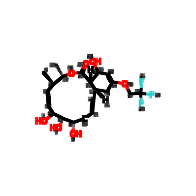 C[C@@H]1/C=C\C(O)[C@@H](O)[C@@H](O)C/C=C/[C@H]2CC(OCC(F)(F)F)=CC(O)[C@H]2C(=O)O[C@H]1C